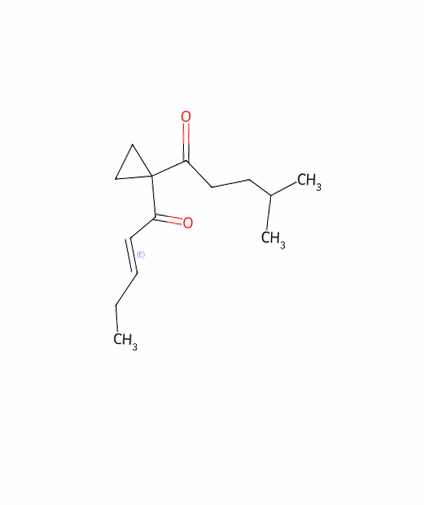 CC/C=C/C(=O)C1(C(=O)CCC(C)C)CC1